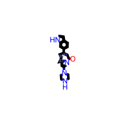 O=C1\C=C(c2ccc3cc[nH]c3c2)/C=C/C=C2\C=CC(N3CCNCC3)=CN12